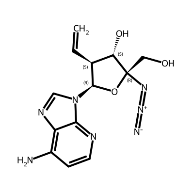 C=C[C@@H]1[C@H](n2cnc3c(N)ccnc32)O[C@@](CO)(N=[N+]=[N-])[C@H]1O